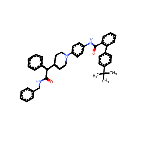 CC(C)(C)c1ccc(-c2ccccc2C(=O)Nc2ccc(N3CCC(C(C(=O)NCc4ccccc4)c4ccccc4)CC3)cc2)cc1